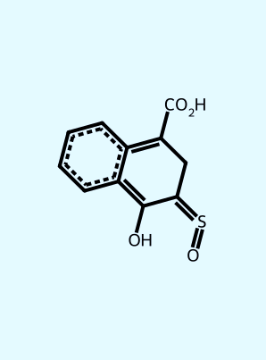 O=S=C1CC(C(=O)O)=c2ccccc2=C1O